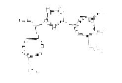 Cc1nc(-c2nc(C(C)c3ccc(C(F)(F)F)cc3)no2)cc(=O)[nH]1